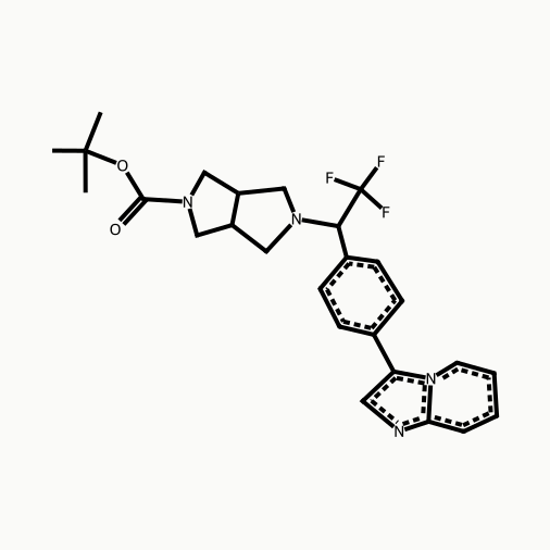 CC(C)(C)OC(=O)N1CC2CN(C(c3ccc(-c4cnc5ccccn45)cc3)C(F)(F)F)CC2C1